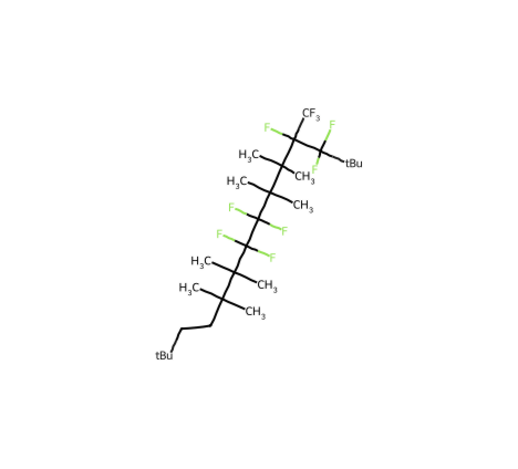 CC(C)(C)CCC(C)(C)C(C)(C)C(F)(F)C(F)(F)C(C)(C)C(C)(C)C(F)(C(F)(F)F)C(F)(F)C(C)(C)C